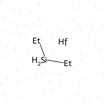 CC[SiH2]CC.[Hf]